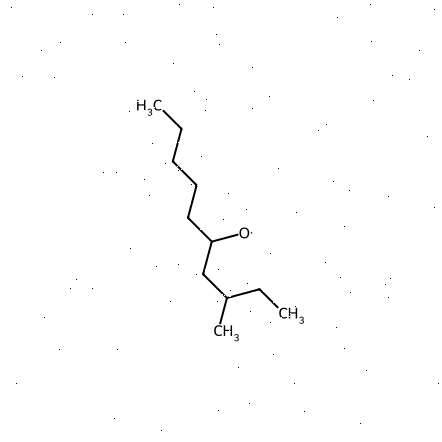 CCCCCC([O])CC(C)CC